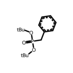 CC(C)(C)OP(=O)(Cc1ccccc1)OC(C)(C)C